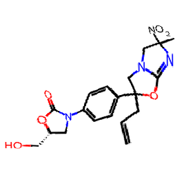 C=CCC1(c2ccc(N3C[C@H](CO)OC3=O)cc2)CN2CC(C)([N+](=O)[O-])N=C2O1